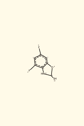 Fc1cc(F)c2c(c1)OC(S)N2